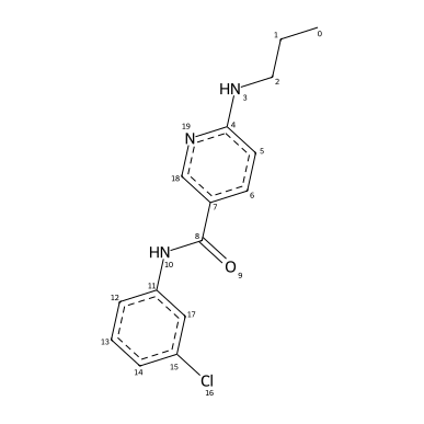 CCCNc1ccc(C(=O)Nc2cccc(Cl)c2)cn1